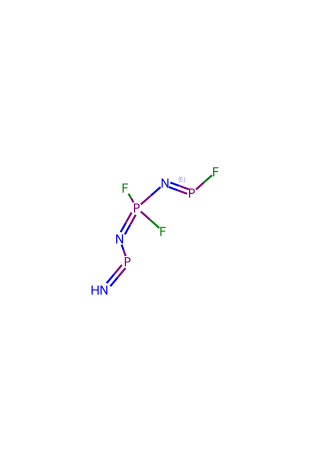 N=PN=P(F)(F)/N=P/F